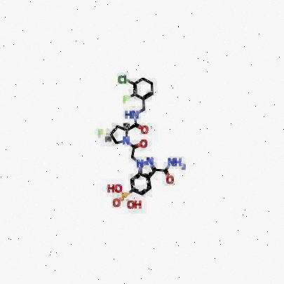 NC(=O)c1nn(CC(=O)N2C[C@H](F)C[C@H]2C(=O)NCC2=CCCC(Cl)=C2F)c2cc(P(=O)(O)O)ccc12